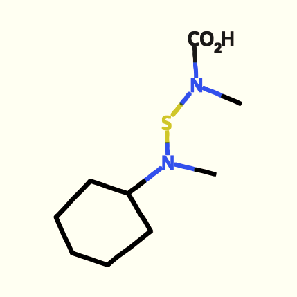 CN(SN(C)C1CCCCC1)C(=O)O